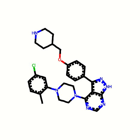 Cc1ccc(Cl)cc1N1CCN(c2ncnc3[nH]nc(-c4ccc(OCC5CCNCC5)cc4)c23)CC1